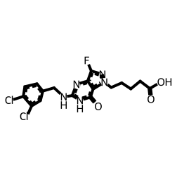 O=C(O)CCCCn1nc(F)c2nc(NCc3ccc(Cl)c(Cl)c3)[nH]c(=O)c21